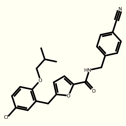 CC(C)COc1ccc(Cl)cc1Cc1ccc(C(=O)NCc2ccc(C#N)cc2)o1